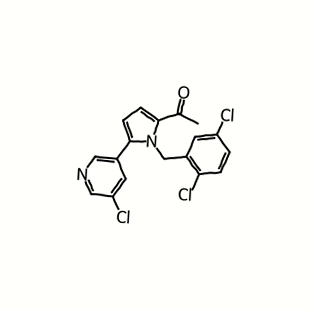 CC(=O)c1ccc(-c2cncc(Cl)c2)n1Cc1cc(Cl)ccc1Cl